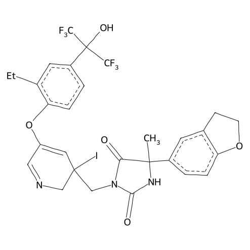 CCc1cc(C(O)(C(F)(F)F)C(F)(F)F)ccc1OC1=CC(I)(CN2C(=O)NC(C)(c3ccc4c(c3)CCO4)C2=O)CN=C1